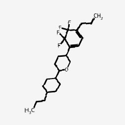 CCCC1=CC=C(C2CCC(C3CCC(CCC)CC3)OC2)C(F)(F)C1(F)F